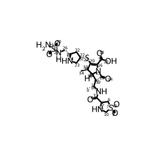 C[C@@H](NC(=O)C1CS(=O)(=O)CN1)[C@H]1C(=O)N2C(C(=O)O)=C(S[C@@H]3CN[C@H](CNS(N)(=O)=O)C3)[C@H](C)[C@H]12